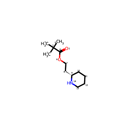 CC(C)(C)C(=O)OCC[C@@H]1CCCCN1